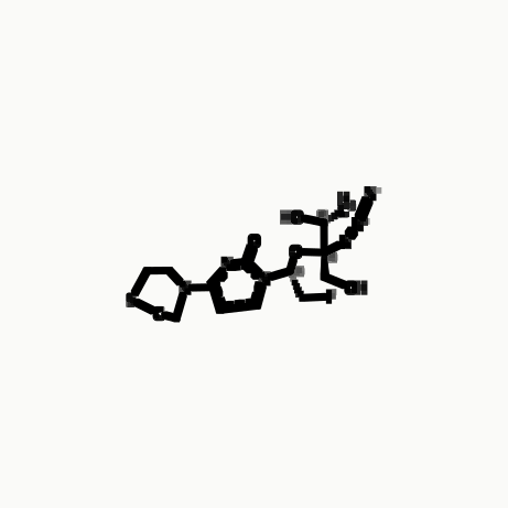 C[C@@H](O)[C@](CO)(N=[N+]=[N-])O[C@H](CF)n1ccc(N2CCSCC2)nc1=O